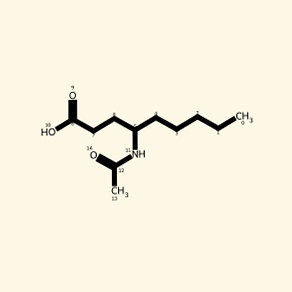 CCCCCC(CCC(=O)O)NC(C)=O